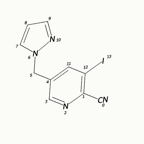 N#Cc1ncc(Cn2cccn2)cc1I